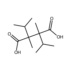 CC(C)C(C)(C(=O)O)C(C)(C(=O)O)C(C)C